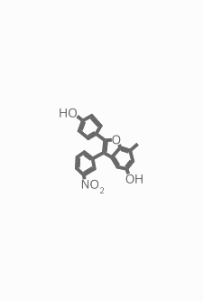 Cc1cc(O)cc2c(-c3cccc([N+](=O)[O-])c3)c(-c3ccc(O)cc3)oc12